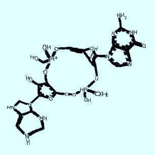 Nc1nc2c(ncn2C2=C3O[PH](O)(O)OCc4oc(N5CNC6=CNCNC65)c(O)c4O[PH](O)(O)O/C=C(/O2)[C@H]3O)c(=O)[nH]1